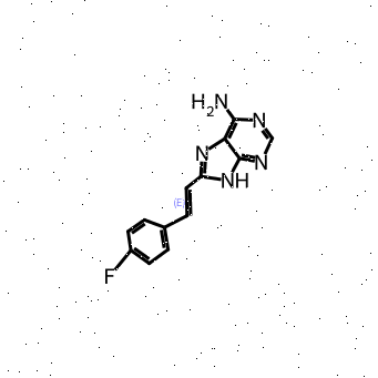 Nc1ncnc2[nH]c(/C=C/c3ccc(F)cc3)nc12